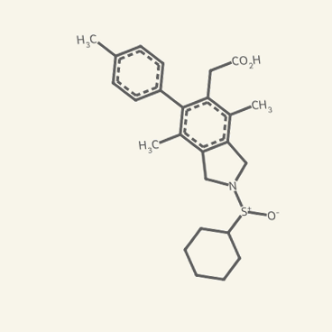 Cc1ccc(-c2c(C)c3c(c(C)c2CC(=O)O)CN([S+]([O-])C2CCCCC2)C3)cc1